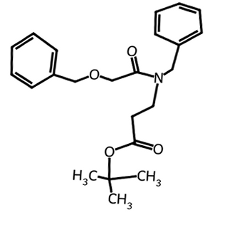 CC(C)(C)OC(=O)CCN(Cc1ccccc1)C(=O)COCc1ccccc1